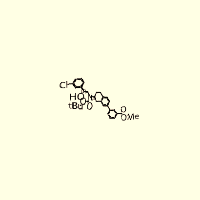 COC(=O)c1cccc(-c2ccc3c(c2)C[C@@H](N(C[C@@H](O)c2cccc(Cl)c2)C(=O)OC(C)(C)C)CC3)c1